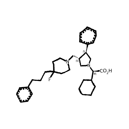 O=C(O)[C@@H](C1CCCCC1)N1C[C@H](CN2CCC(F)(CCCc3ccccc3)CC2)[C@@H](c2ccccc2)C1